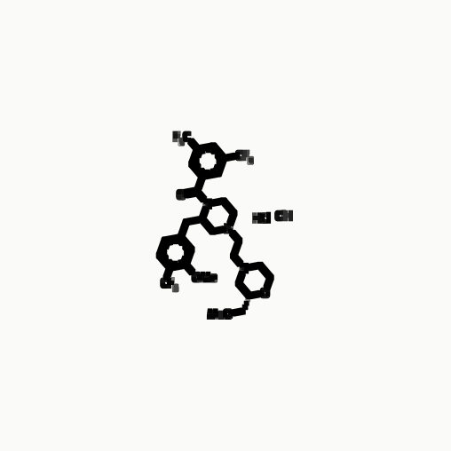 COC[C@@H]1CN(CCN2CCN(C(=O)c3cc(C(F)(F)F)cc(C(F)(F)F)c3)C(Cc3ccc(C(F)(F)F)c(OC)c3)C2)CCO1.Cl.Cl